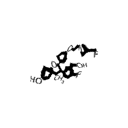 CC1=C(c2ccc(F)c(CO)c2)[C@H](c2ccc(OCCN3CC(CF)C3)cc2)Oc2ccc(O)cc21